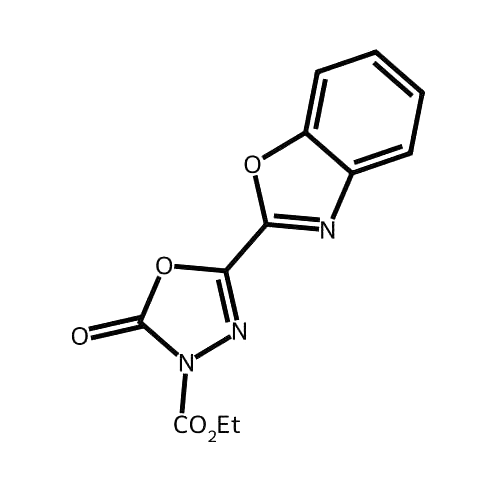 CCOC(=O)n1nc(-c2nc3ccccc3o2)oc1=O